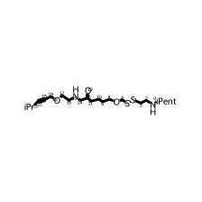 CCCC(C)NCCSSCOCCCCC(=O)CNCCOCC#CC(C)C